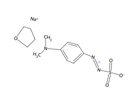 C1CCOC1.CN(C)c1ccc(/N=N/S(=O)(=O)[O-])cc1.[Na+]